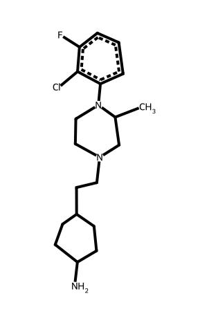 CC1CN(CCC2CCC(N)CC2)CCN1c1cccc(F)c1Cl